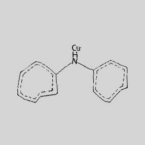 [Cu].c1ccc(Nc2ccccc2)cc1